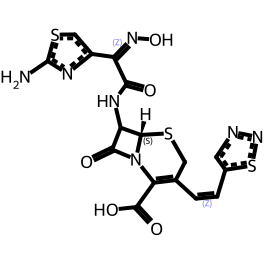 Nc1nc(/C(=N/O)C(=O)NC2C(=O)N3C(C(=O)O)=C(/C=C\c4cnns4)CS[C@@H]23)cs1